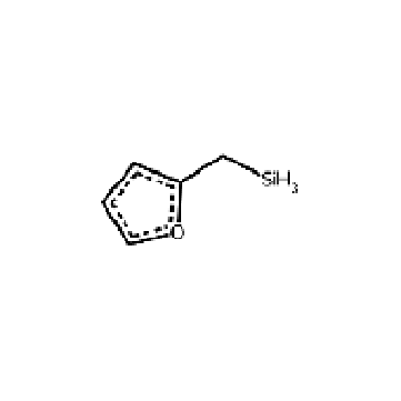 [SiH3]Cc1ccco1